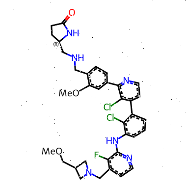 COCC1CN(Cc2ccnc(Nc3cccc(-c4ccnc(-c5ccc(CNC[C@H]6CCC(=O)N6)c(OC)c5)c4Cl)c3Cl)c2F)C1